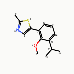 COc1c(-c2cnc(C)s2)cccc1C(C)C